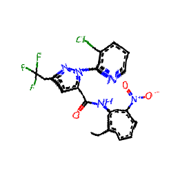 Cc1cccc([N+](=O)[O-])c1NC(=O)c1cc(C(F)(F)F)nn1-c1ncccc1Cl